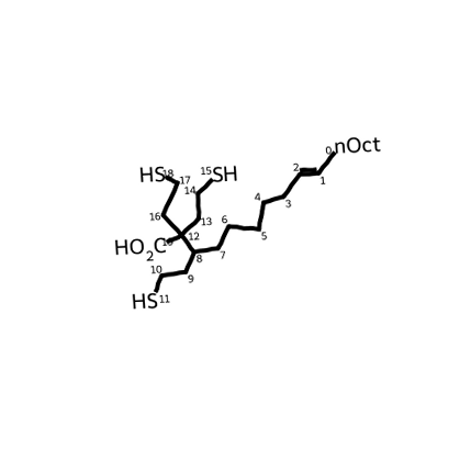 CCCCCCCCC=CCCCCCC(CCS)C(CCS)(CCS)C(=O)O